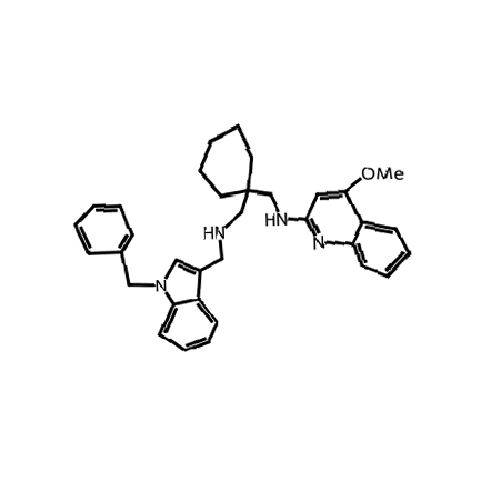 COc1cc(NCC2(CNCc3cn(Cc4ccccc4)c4ccccc34)CCCCC2)nc2ccccc12